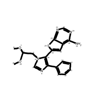 COC(Cn1cnc(-c2ccccc2)c1-c1cc2c(N)ncnc2s1)OC